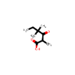 CCC(C)(C)C(=O)C(C)C(=O)O